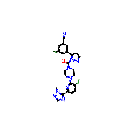 Cn1ncnc1-c1ccc(F)c(N2CCN(C(=O)N3N=CCC3c3cc(F)cc(C#N)c3)CC2)n1